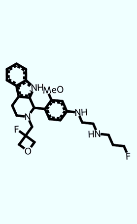 COc1cc(NCCNCCCF)ccc1C1c2[nH]c3ccccc3c2CCN1CC1(F)COC1